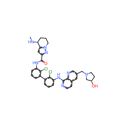 CN[C@H]1CCCn2nc(C(=O)Nc3cccc(-c4cccc(Nc5nccc6cc(CN7CC[C@@H](O)C7)cnc56)c4Cl)c3Cl)cc21